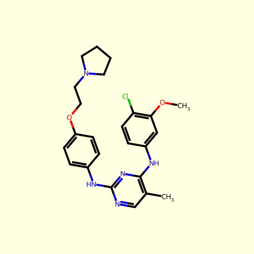 COc1cc(Nc2nc(Nc3ccc(OCCN4CCCC4)cc3)ncc2C)ccc1Cl